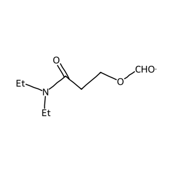 CCN(CC)C(=O)CCO[C]=O